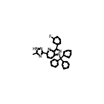 Cc1nc(-c2ccc3c(n2)c(-c2cccc(F)c2)nn3C(c2ccccc2)(c2ccccc2)c2ccccc2)n[nH]1